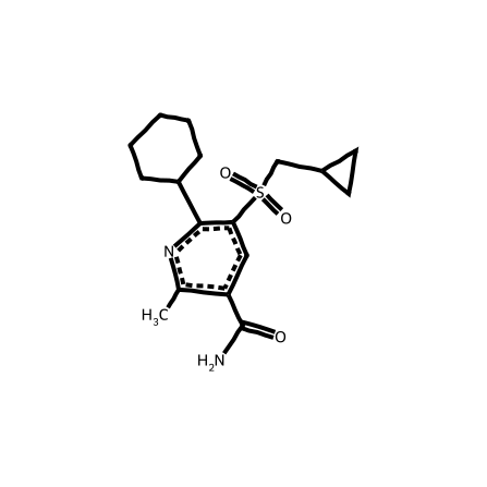 Cc1nc(C2CCCCC2)c(S(=O)(=O)CC2CC2)cc1C(N)=O